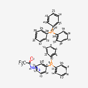 NC(=O)C(F)(F)F.c1ccc(P(c2ccccc2)c2ccccc2)cc1.c1ccc(P(c2ccccc2)c2ccccc2)cc1